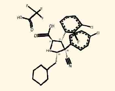 N#C[C@]1(c2ccc(Cl)cc2)[C@H](CC2CCCCC2)N[C@@H](C(=O)O)[C@@H]1c1cccc(Cl)c1F.O=C(O)C(F)(F)F